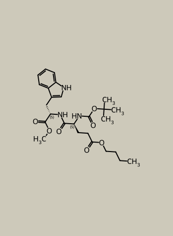 CCCCOC(=O)CC[C@H](NC(=O)OC(C)(C)C)C(=O)N[C@@H](Cc1c[nH]c2ccccc12)C(=O)OC